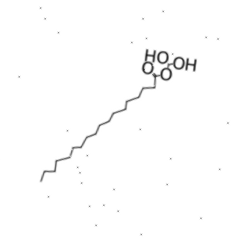 CCCCCCCCCCCCCCCCCC(=O)OC(O)O